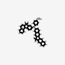 CC(C)(C)c1ccc(N(c2ccc3c(c2)C(C)(C)c2ccc4ccccc4c2-3)c2ccc3cc4c(cc3c2)C(C)(C)c2cc3ccccc3cc2-4)cc1